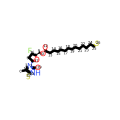 Cc1cn([C@H]2C[C@H](F)[C@@H](COC(=O)CCCCCCCCCCCCC=S)O2)c(=O)[nH]c1=S